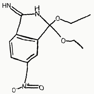 CCOC1(OCC)NC(=N)c2ccc([N+](=O)[O-])cc21